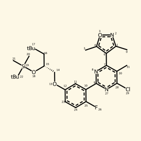 Cc1noc(C)c1-c1nc(-c2cc(OC[C@@H]([CH]C(C)(C)C)O[Si](C)(C)C(C)(C)C)ccc2F)nc(Cl)c1C